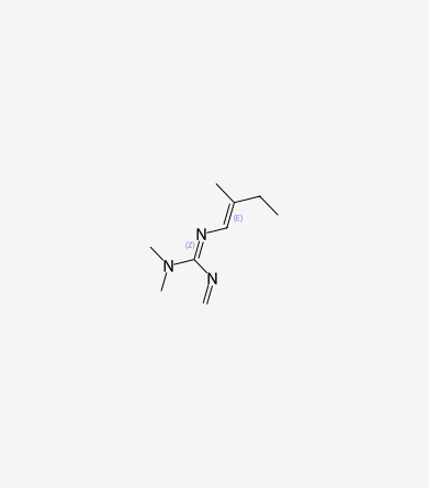 C=N/C(=N\C=C(/C)CC)N(C)C